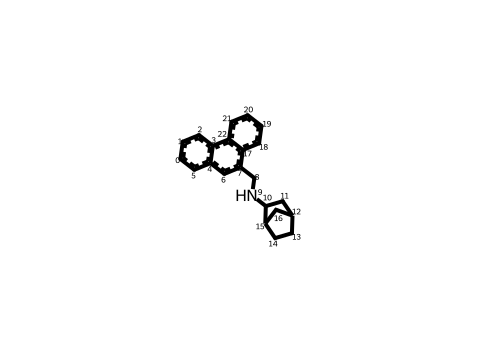 c1ccc2c(c1)cc(CNC1CC3CCC1C3)c1ccccc12